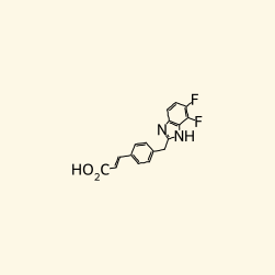 O=C(O)/C=C/c1ccc(Cc2nc3ccc(F)c(F)c3[nH]2)cc1